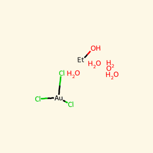 CCO.O.O.O.O.[Cl][Au]([Cl])[Cl]